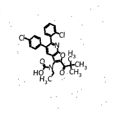 CCN(C(=O)O)c1c(C(=O)C(C)(C)C)oc2nc(-c3ccccc3Cl)c(-c3ccc(Cl)cc3)cc12